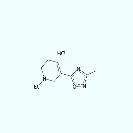 CCN1CCC=C(c2nc(C)no2)C1.Cl